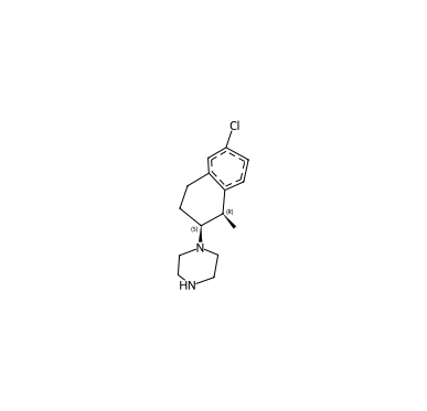 C[C@@H]1c2ccc(Cl)cc2CC[C@@H]1N1CCNCC1